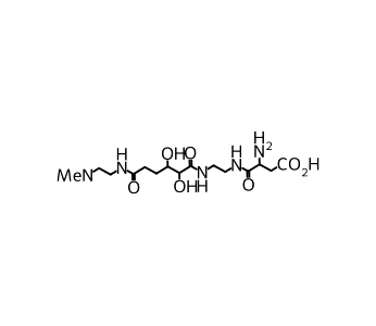 CNCCNC(=O)CCC(O)C(O)C(=O)NCCNC(=O)C(N)CC(=O)O